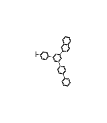 Ic1ccc(-c2cc(-c3ccc(-c4ccccc4)cc3)cc(-c3ccc4ccccc4c3)c2)cc1